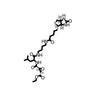 CCOC(=O)[C@H]1O[C@@H]1C(=O)NC(CC(C)C)C(=O)NCCCCNC(=O)CCCC[C@@H]1SC[C@@H]2NC(=O)N[C@@H]21